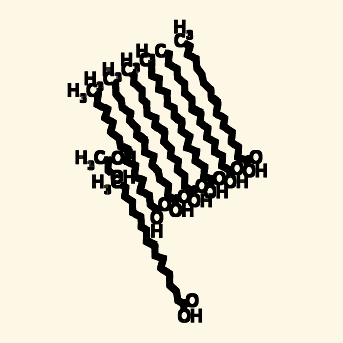 CC(O)CO.CCCCCCCCC=CCCCCCCCC(=O)O.CCCCCCCCC=CCCCCCCCC(=O)O.CCCCCCCCC=CCCCCCCCC(=O)O.CCCCCCCCC=CCCCCCCCC(=O)O.CCCCCCCCC=CCCCCCCCC(=O)O.CCCCCCCCC=CCCCCCCCC(=O)O.CCCCCCCCC=CCCCCCCCC(=O)O